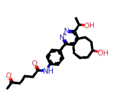 CC(=O)CCCC(=O)Nc1ccc(-c2nnc(C(C)O)c3c2CCCC(O)CC3)cc1